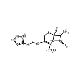 CCOC(=O)C1=C(SCSc2cnn[nH]2)CS[C@@H]2C(N)C(=O)N12